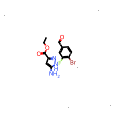 CCOC(=O)c1cc(N)[nH]n1.O=Cc1ccc(Br)c(F)c1